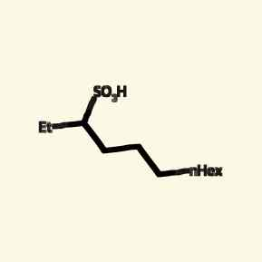 CCCCCCCCCC(CC)S(=O)(=O)O